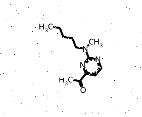 CCCCCN(C)c1nccc(C(C)=O)n1